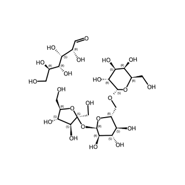 O=C[C@H](O)[C@@H](O)[C@H](O)[C@H](O)CO.OC[C@H]1O[C@H](OC[C@H]2O[C@H](O[C@]3(CO)O[C@H](CO)[C@@H](O)[C@@H]3O)[C@H](O)[C@@H](O)[C@@H]2O)[C@H](O)[C@@H](O)[C@H]1O